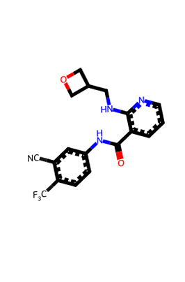 N#Cc1cc(NC(=O)c2cccnc2NCC2COC2)ccc1C(F)(F)F